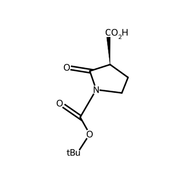 CC(C)(C)OC(=O)N1CC[C@H](C(=O)O)C1=O